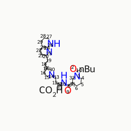 CCCCC(=O)N1CCC[C@@H](C(=O)N[C@@H](CCN2CC[C@@H](CCc3ccc4c(n3)NCCC4)C2)C(=O)O)C1